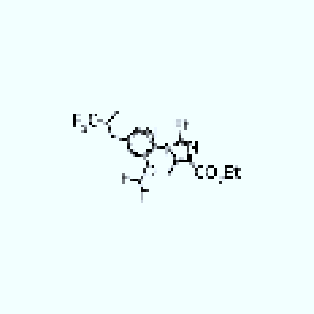 CCOC(=O)c1nc(CC)n(-c2ncc(CC(C)C(F)(F)F)cc2OC(F)F)c1C